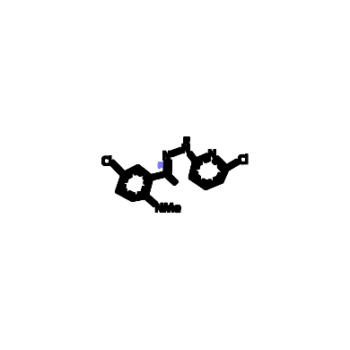 CNc1ccc(Cl)cc1/C(C)=N/N(C)c1cccc(Cl)n1